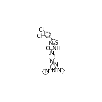 O=C(Nc1nc(-c2ccc(Cl)c(Cl)c2)cs1)N1CCN(c2cc(N3CCCC3)nc(N3CCCC3)n2)CC1